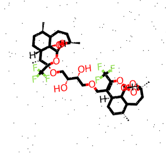 C[C@@H]1CC[C@H]2C(COC[C@@H](O)[C@H](O)CO[C@@]3(C(F)(F)F)O[C@@H]4O[C@]5(C)CCC6[C@H](C)CC[C@@H]([C@H]3C)[C@]64OO5)=C(C(F)(F)F)O[C@@H]3O[C@]4(C)CCC1[C@]32OO4